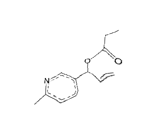 C=CC(OC(=O)CC)c1ccc(C)nc1